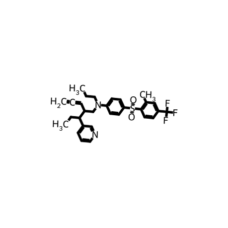 C=C=CC(CN(CCC)c1ccc(S(=O)(=O)c2ccc(C(F)(F)F)cc2C)cc1)C(CC)c1cccnc1